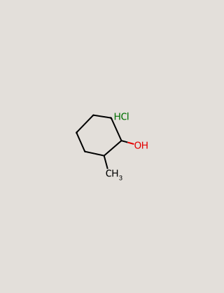 CC1CCCCC1O.Cl